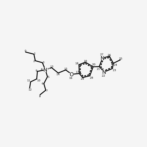 CCCC[N+](CCCC)(CCCC)CCCOc1ccc(-c2ncc(C)cn2)cc1